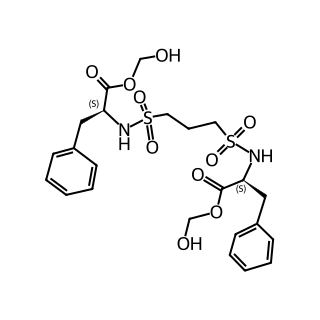 O=C(OCO)[C@H](Cc1ccccc1)NS(=O)(=O)CCCS(=O)(=O)N[C@@H](Cc1ccccc1)C(=O)OCO